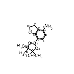 CC1(C)OB(c2ccc(N)c3c2OCC3)OC1(C)C